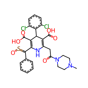 CN1CCN(C(=O)CC2=C(C(=O)O)C(c3c(Cl)cccc3Cl)C(C(=O)O)=C(C(=S=O)c3ccccc3)N2)CC1